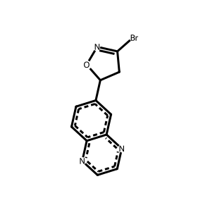 BrC1=NOC(c2ccc3nccnc3c2)C1